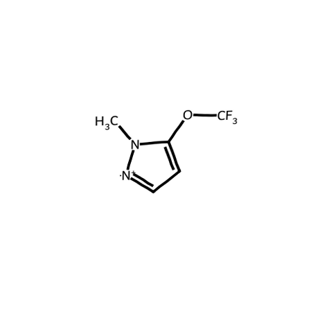 CN1[N+]=CC=C1OC(F)(F)F